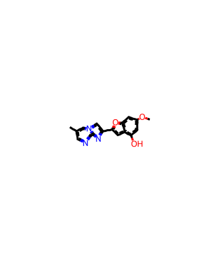 COc1cc(O)c2cc(-c3cn4cc(C)cnc4n3)oc2c1